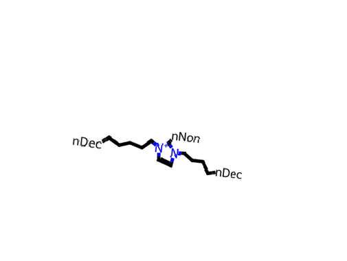 CCCCCCCCCCCCCCC[n+]1ccn(CCCCCCCCCCCCCC)c1CCCCCCCCC